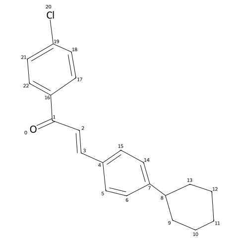 O=C(/C=C/c1ccc(C2CCCCC2)cc1)c1ccc(Cl)cc1